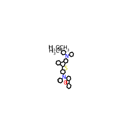 C[Si](C)(C)c1ccc(N(c2ccccc2)c2ccc3c(c2)c2ccccc2c2c4ccc(N(c5ccccc5)c5cccc6c5oc5ccccc56)cc4sc32)cc1